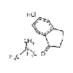 CN(C)C.Cl.O=C1CCCc2ccccc21